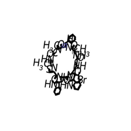 C[C@H]1NC(=O)CNC(=O)C(Cc2c[nH]c3cccc(Br)c23)NC(=O)[C@H](Cc2c[nH]c3ccccc23)NC(=O)c2csc(n2)[C@@H](C)NC(=O)CN(C)C(=O)/C(=C/c2ccccc2)NC1=O